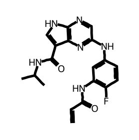 C=CC(=O)Nc1cc(Nc2cnc3[nH]cc(C(=O)NC(C)C)c3n2)ccc1F